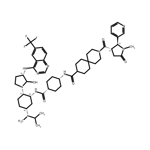 CC(C)N(C)[C@@H]1CC[C@H](N2CC[C@H](Nc3ncnc4ccc(C(F)(F)F)cc34)C2O)[C@H](NC(=O)[C@H]2CC[C@@H](NC(=O)C3CCC4(CC3)CCN(C(=O)[C@H]3CC(=O)N(C)[C@@H]3c3cccnc3)CC4)CC2)C1